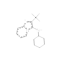 CC(C)(C)c1nc2ccccn2c1NC1CCCCC1